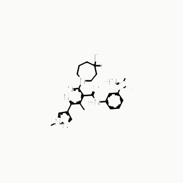 Cc1c(-c2cnn(C)c2)nnc(N2CCCC(F)(F)CC2)c1C(=O)Nc1cccc(S(C)(=N)=O)c1